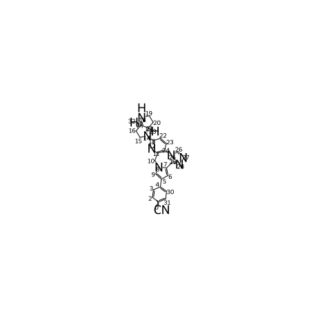 N#Cc1ccc(-c2cc3n(c2)Cc2nc(N4CC[C@H]5NCC[C@@H]54)ccc2-n2cnnc2-3)cc1